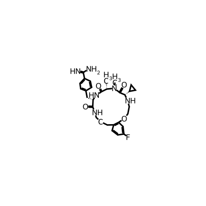 C[C@H]1C(=O)N[C@@H](Cc2ccc(C(=N)N)cc2)C(=O)NCCCc2ccc(F)cc2OCCN[C@@H](C2CC2)C(=O)N1C